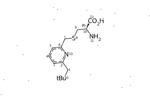 CC(C)(C)Cc1cccc(CSC[C@H](N)C(=O)O)n1